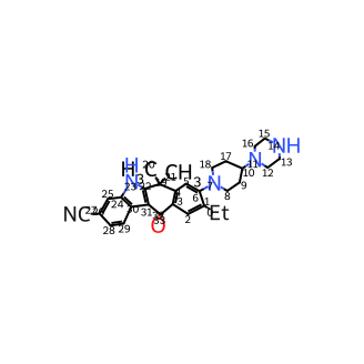 CCc1cc2c(cc1N1CCC(N3CCNCC3)CC1)C(C)(C)c1[nH]c3cc(C#N)ccc3c1C2=O